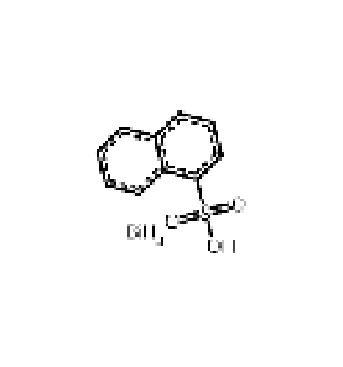 O=S(=O)(O)c1cccc2ccccc12.[BiH3]